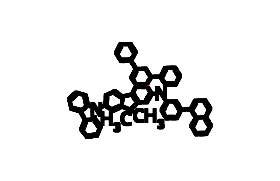 CC1(C)c2cc(N(c3cccc(-c4cccc5ccccc45)c3)c3ccccc3C3C=CC=C(c4ccccc4)C3)ccc2-c2ccc(-n3c4ccccc4c4ccccc43)cc21